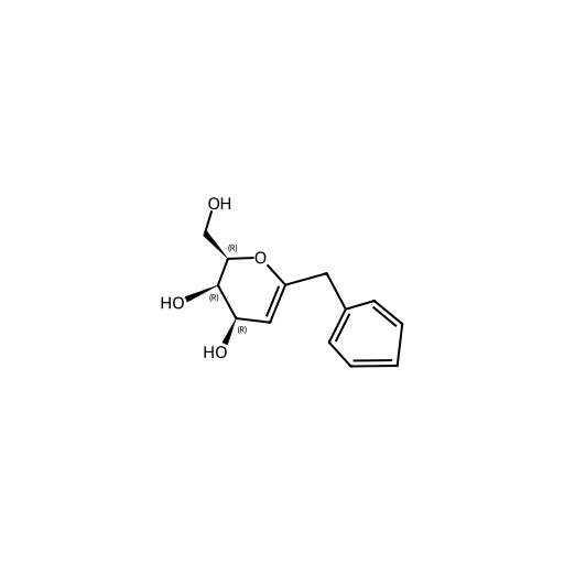 OC[C@H]1OC(Cc2ccccc2)=C[C@@H](O)[C@H]1O